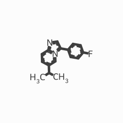 CC(C)c1ccc2ncc(-c3ccc(F)cc3)n2c1